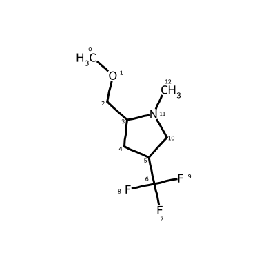 COCC1CC(C(F)(F)F)CN1C